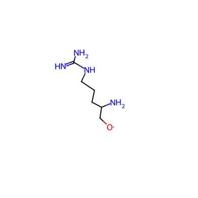 N=C(N)NCCCC(N)C[O]